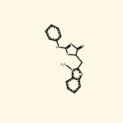 Cn1c(CC2SC(Nc3ccccc3)=NC2=O)nc2ccccc21